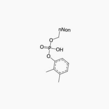 CCCCCCCCCCOP(=O)(O)Oc1cccc(C)c1C